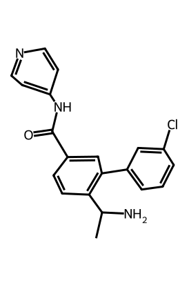 CC(N)c1ccc(C(=O)Nc2ccncc2)cc1-c1cccc(Cl)c1